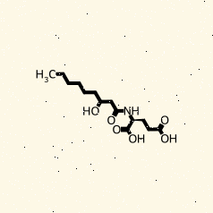 CCCCCCC(O)CC(=O)N[C@@H](CCC(=O)O)C(=O)O